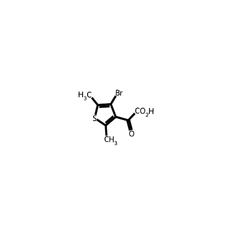 Cc1sc(C)c(C(=O)C(=O)O)c1Br